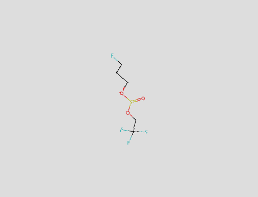 O=S(OCCCF)OCC(F)(F)F